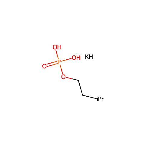 CC(C)CCOP(=O)(O)O.[KH]